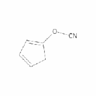 N#COC1=CC=CC1